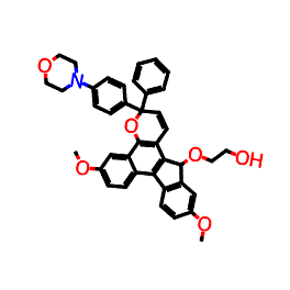 COc1ccc2c(c1)C(OCCO)c1c3c(c4cc(OC)ccc4c1-2)OC(c1ccccc1)(c1ccc(N2CCOCC2)cc1)C=C3